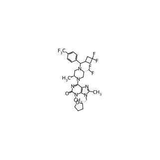 Cc1nc2c(N3C[C@@H](C(F)F)N(C(c4ccc(C(F)(F)F)cc4)C4CC(F)(F)C4)C[C@@H]3C)nc(=O)n(C)c2n1C[C@@H]1CCCO1